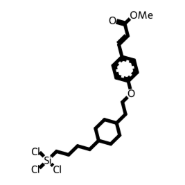 COC(=O)/C=C/c1ccc(OCCC2CCC(CCCC[Si](Cl)(Cl)Cl)CC2)cc1